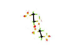 O=S(=O)(F)C(F)(F)C(F)(F)S(=O)(=O)F.O=S(=O)(F)C(F)(F)C(F)(F)S(=O)(=O)F.[LiH]